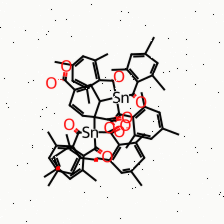 Cc1cc(C)c([C](=O)[Sn]([C](=O)c2c(C)cc(C)cc2C)([C](=O)c2c(C)cc(C)cc2C)[CH]2C=C(C(=O)[O-])C=C[C]2(C(=O)[O-])[Sn]([C](=O)c2c(C)cc(C)cc2C)([C](=O)c2c(C)cc(C)cc2C)[C](=O)c2c(C)cc(C)cc2C)c(C)c1